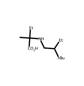 CCCCC(CC)CNC(C)(CC)C(=O)O